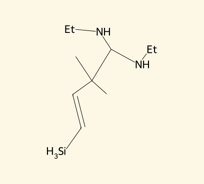 CCNC(NCC)C(C)(C)C=C[SiH3]